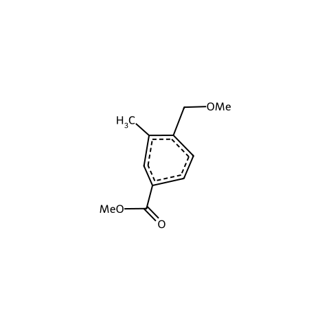 COCc1ccc(C(=O)OC)cc1C